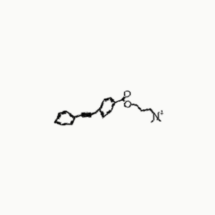 C[N+](C)(C)CCCOC(=O)c1ccc(C#Cc2ccccc2)cc1